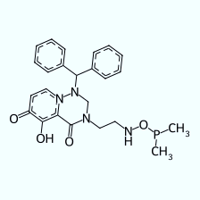 CP(C)ONCCN1CN(C(c2ccccc2)c2ccccc2)n2ccc(=O)c(O)c2C1=O